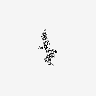 CC(=O)c1cn(CC(=O)N2C[C@H](F)C[C@H]2C(=O)Nc2cccc(C(F)(F)F)n2)c2ccc(-c3cnc4cc(C)nn4c3)cc12